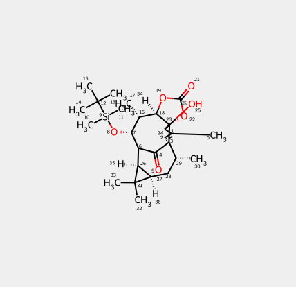 CC1=C[C@]23C(=O)C([C@H](O[Si](C)(C)C(C)(C)C)[C@H](C)[C@H]4OC(=O)O[C@]42C1O)[C@H]1[C@@H](C[C@H]3C)C1(C)C